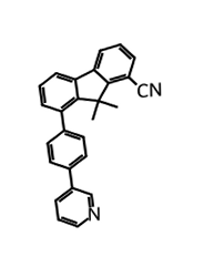 CC1(C)c2c(C#N)cccc2-c2cccc(-c3ccc(-c4cccnc4)cc3)c21